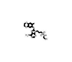 CC(C)CNS(=O)(=O)CCCn1c(Sc2cc3c(cc2I)OCCO3)nc2c(N)ncnc21